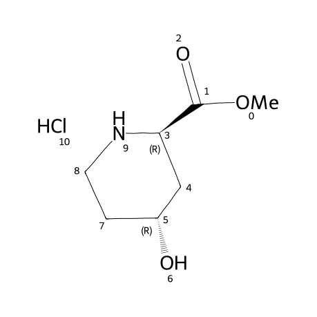 COC(=O)[C@H]1C[C@H](O)CCN1.Cl